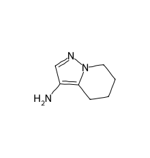 Nc1cnn2c1CCCC2